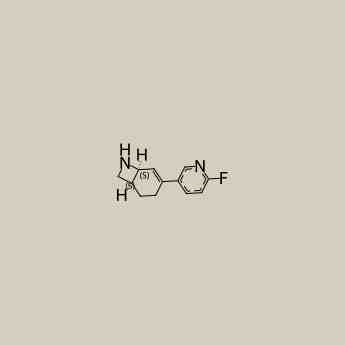 Fc1ccc(C2=C[C@@H]3NC[C@@H]3CC2)cn1